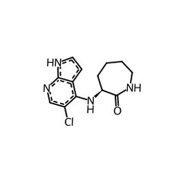 O=C1NCCCC[C@@H]1Nc1c(Cl)cnc2[nH]ccc12